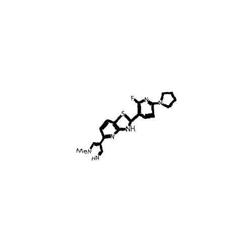 CN/C=C(\C=N)c1ccc2c(n1)NC(c1ccc(N3CCCC3)nc1F)S2